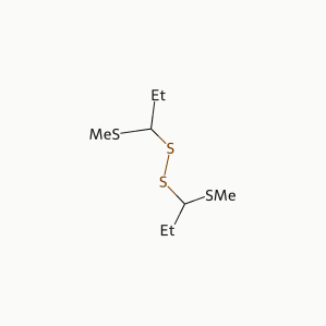 CCC(SC)SSC(CC)SC